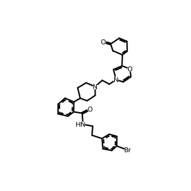 O=C1C=CC=C(C2=CN(CCN3CCC(c4ccccc4C(=O)NCCc4ccc(Br)cc4)CC3)C=CO2)C1